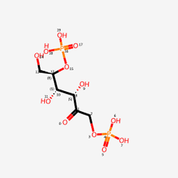 O=C(COP(=O)(O)O)[C@@H](O)[C@H](O)[C@@H](CO)OP(=O)(O)O